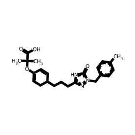 Cc1ccc(Cn2nc(CCCC3C=CC(OC(C)(C)C(=O)O)=CC3)[nH]c2=O)cc1